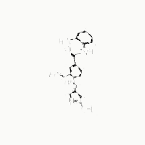 Cn1cc(CNc2ccc(C(=O)Nc3ccccc3N)cc2C=N)cn1